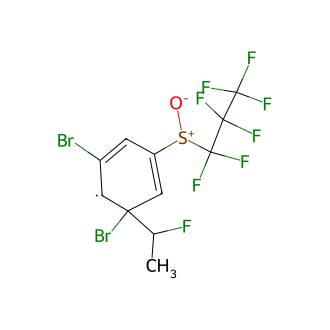 CC(F)C1(Br)[CH]C(Br)=CC([S+]([O-])C(F)(F)C(F)(F)C(F)(F)F)=C1